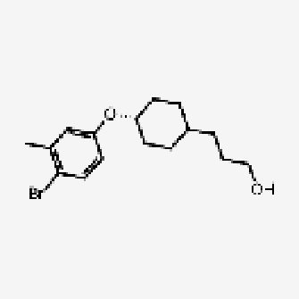 Cc1cc(O[C@H]2CC[C@H](CCCO)CC2)ccc1Br